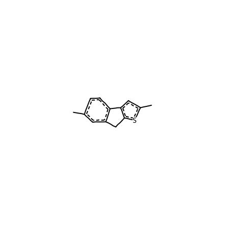 Cc1ccc2c(c1)Cc1sc(C)cc1-2